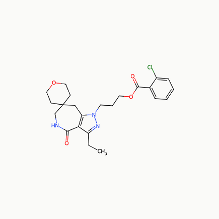 CCc1nn(CCCOC(=O)c2ccccc2Cl)c2c1C(=O)NCC1(CCOCC1)C2